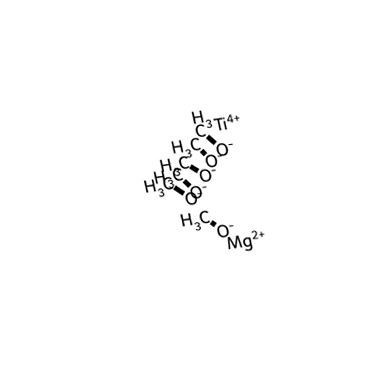 C[O-].C[O-].C[O-].C[O-].C[O-].C[O-].[Mg+2].[Ti+4]